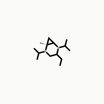 CCC1CN(C(C)C)[C@@]2(C)CC2N1C(C)C